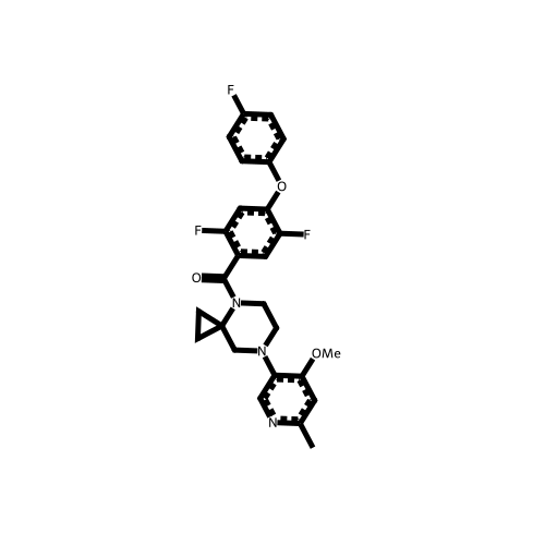 COc1cc(C)ncc1N1CCN(C(=O)c2cc(F)c(Oc3ccc(F)cc3)cc2F)C2(CC2)C1